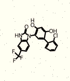 O=c1[nH]c2cc(C(F)(F)F)ccc2n1-c1cc(-c2ccccc2Cl)c(O)cc1O